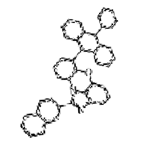 c1ccc(-c2c3ccccc3c(-c3cccc4c3Oc3cccc5nc(-c6ccc7ccccc7c6)n-4c35)c3ccccc23)cc1